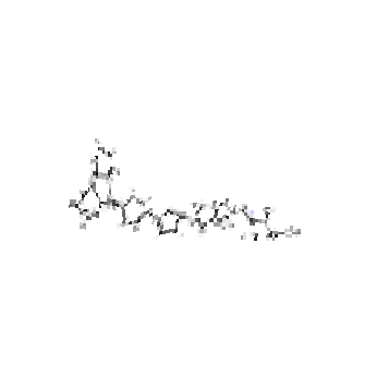 CC(C)(C)OC(=O)/C(C#N)=C/c1cc2sc(-c3ccc(-c4ccc(N5c6ccccc6C6C7CCC(C7)C65)cc4)s3)cc2s1